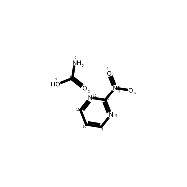 NC(=O)O.O=[N+]([O-])c1ncccn1